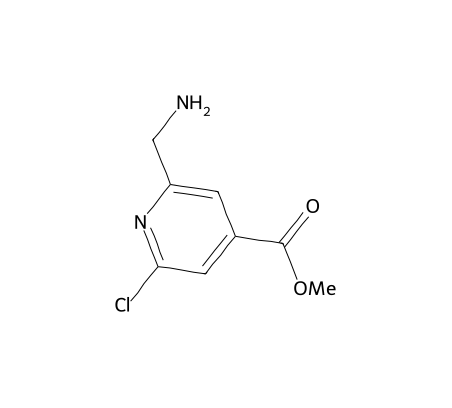 COC(=O)c1cc(Cl)nc(CN)c1